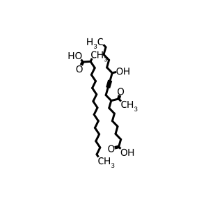 CCCCCC(O)C#CCC(CCCCCCC(=O)O)C(C)=O.CCCCCCCCCCCCCCCC(C)C(=O)O